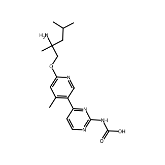 Cc1cc(OCC(C)(N)CC(C)C)ncc1-c1ccnc(NC(=O)O)n1